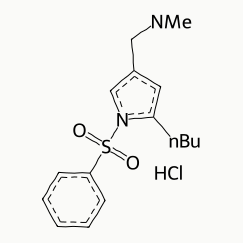 CCCCc1cc(CNC)cn1S(=O)(=O)c1ccccc1.Cl